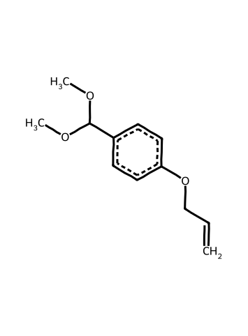 C=CCOc1ccc(C(OC)OC)cc1